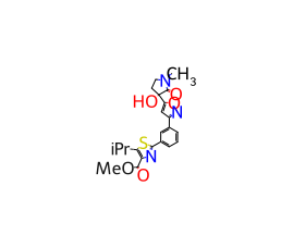 COC(=O)c1nc(-c2cccc(-c3cc(C4(O)CCN(C)C4=O)on3)c2)sc1C(C)C